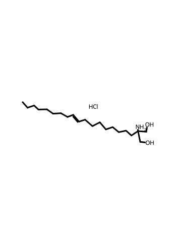 CCCCCCCC/C=C/CCCCCCCCC(N)(CO)CO.Cl